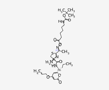 C=CCOc1cc([C@@H](CCC)NC(=O)[C@]2(N)CSC(/C(C)=N/OC(=O)CCCCCNC(=O)OC(C)(C)C)=N2)oc(=O)c1